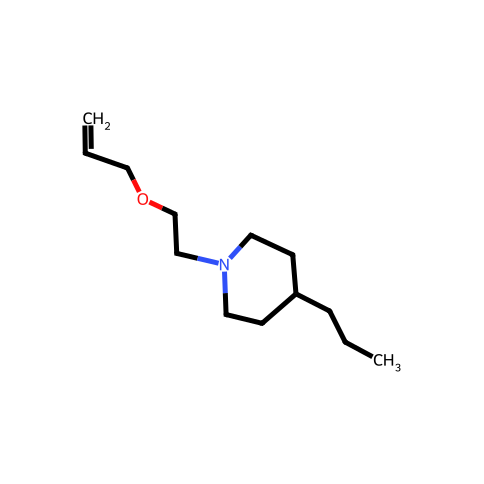 C=CCOCCN1CCC(CCC)CC1